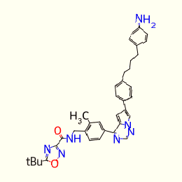 Cc1cc(-c2ncnn3cc(-c4ccc(CCCCc5ccc(N)cc5)cc4)cc23)ccc1CNC(=O)c1noc(C(C)(C)C)n1